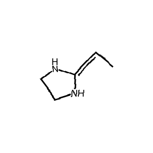 CC=C1NCCN1